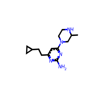 CC1CN(c2cc(CCC3CC3)nc(N)n2)CCN1